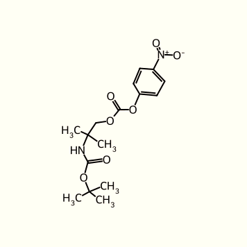 CC(C)(COC(=O)Oc1ccc([N+](=O)[O-])cc1)NC(=O)OC(C)(C)C